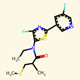 CCN(C(=O)C(C)CSC)c1sc(-c2cncc(F)c2)nc1F